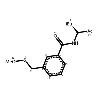 CC[C@H](C)C(NC(=O)c1cccc(CSOC)c1)C(C)=O